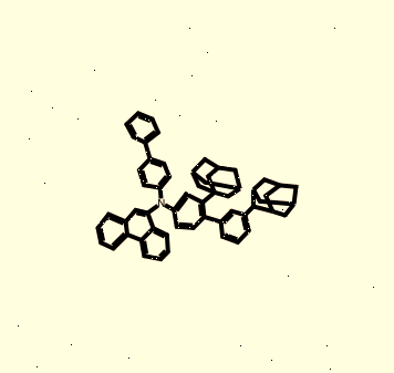 c1ccc(-c2ccc(N(c3ccc(-c4cccc(C5C6CC7CC(C6)CC5C7)c4)c(C45CC6CC(CC(C6)C4)C5)c3)c3cc4ccccc4c4ccccc34)cc2)cc1